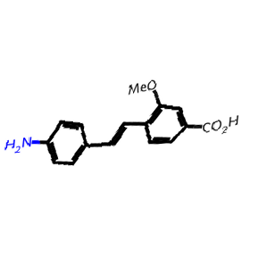 COc1cc(C(=O)O)ccc1C=Cc1ccc(N)cc1